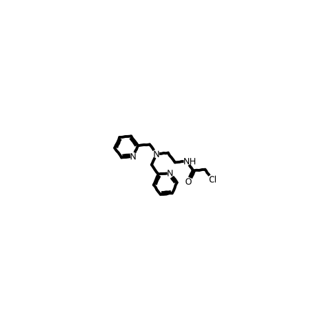 O=C(CCl)NCCN(Cc1ccccn1)Cc1ccccn1